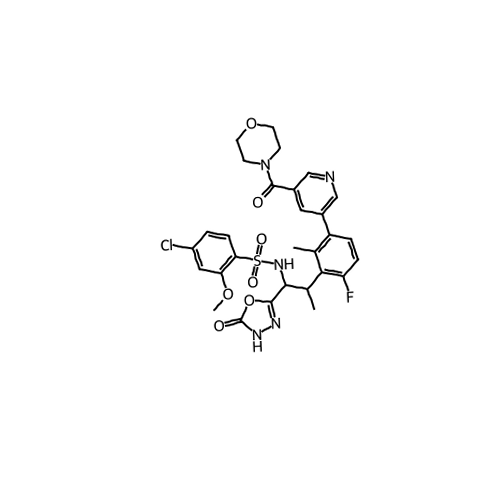 COc1cc(Cl)ccc1S(=O)(=O)NC(c1n[nH]c(=O)o1)C(C)c1c(F)ccc(-c2cncc(C(=O)N3CCOCC3)c2)c1C